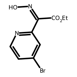 CCOC(=O)/C(=N/O)c1cc(Br)ccn1